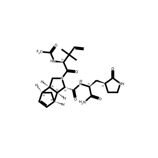 C=CC(C)(C)[C@H](NC(=O)C(F)(F)F)C(=O)N1C[C@H]2[C@@H]([C@H]1C(=O)N[C@@H](C[C@@H]1CCNC1=O)C(N)=O)[C@H]1C=C[C@@H]2C1